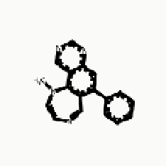 CN1C=CN=Cc2c(-c3ccccc3)cc3ncncc3c21